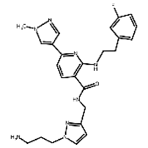 Cn1cc(-c2ccc(C(=O)NCc3ccn(CCCN)n3)c(NCCc3cccc(F)c3)n2)cn1